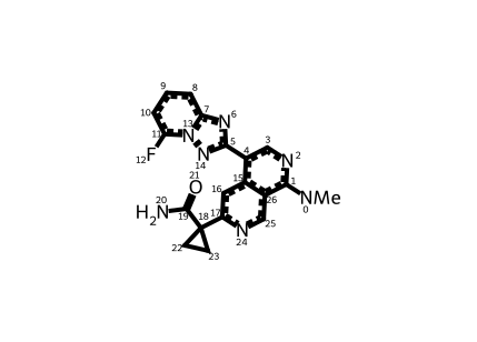 CNc1ncc(-c2nc3cccc(F)n3n2)c2cc(C3(C(N)=O)CC3)ncc12